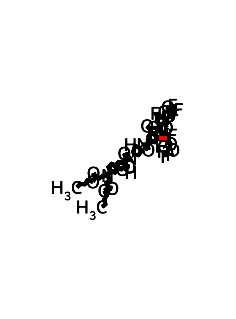 CCCCOC(=O)CCN(CCC(=O)OCCCC)c1ccc2cc(C(=O)N[C@H]3CC[C@H](NC(=O)c4ccc5c(c4)C(=O)OC54c5cc(F)c(OS(=O)(=O)C(F)(F)F)c(F)c5Oc5c4cc(F)c(OS(=O)(=O)C(F)(F)F)c5F)CC3)c(=O)oc2c1